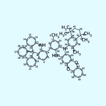 Cc1cc(-c2cccc3c2Nc2ccccc2S3(c2ccccc2)c2ccccc2)c2c(c1)N(c1cc3c(cc1C)C(C)(C)CCC3(C)C)c1cc3c(cc1B2)Oc1ccccc1O3